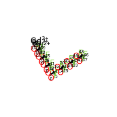 O=C([O-])C(F)(F)F.O=C([O-])C(F)(F)F.O=C([O-])C(F)(F)F.O=C([O-])C(F)(F)F.O=C([O-])C(F)(F)F.O=C([O-])C(F)(F)F.O=C([O-])C(F)(F)F.[Ba+2].[Cu+2].[Gd+3]